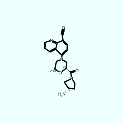 C[C@@H]1CN(c2ccc(C#N)c3ncccc23)C[C@H](C(=O)N2CC[C@H](N)C2)O1